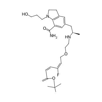 C=C(/C=C\C(F)=C/COCCN[C@H](C)Cc1cc2c(c(C(N)=O)c1)N(CCCO)CC2)OC(C)(C)C